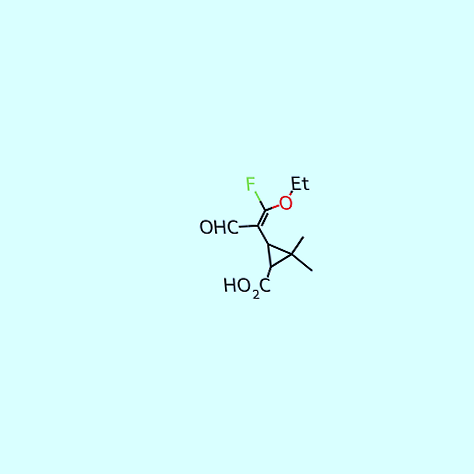 CCO/C(F)=C(/C=O)C1C(C(=O)O)C1(C)C